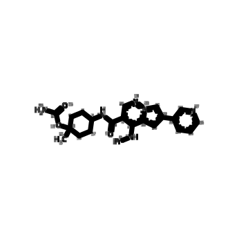 CC(C)Nc1c(C(=O)NC2CCC(C)(OC(N)=O)CC2)cnn2cc(-c3cccnc3)cc12